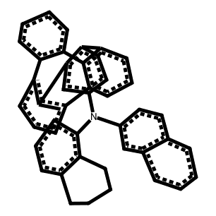 c1ccc2c(c1)-c1cccc3c1-c1cc(N(c4ccc5ccccc5c4)c4cccc5c4CCCC5)ccc1-c1cccc-3c1-2